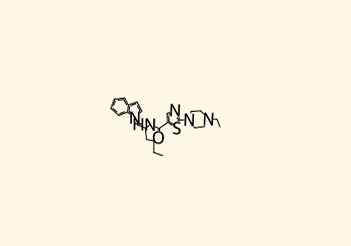 CCCCC(Cn1ccc2ccccc21)NC(=O)c1cnc(N2CCN(CC)CC2)s1